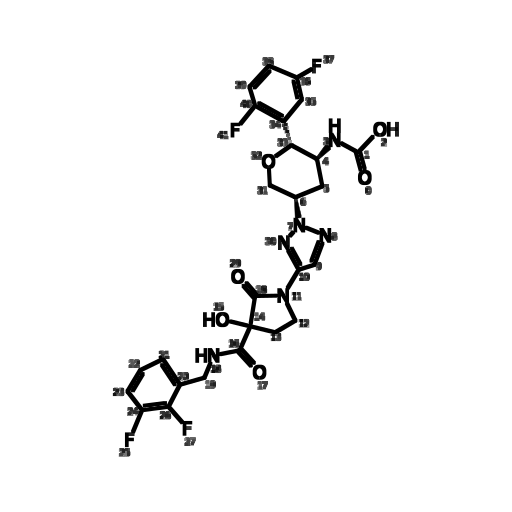 O=C(O)N[C@H]1C[C@@H](n2ncc(N3CCC(O)(C(=O)NCc4cccc(F)c4F)C3=O)n2)CO[C@@H]1c1cc(F)ccc1F